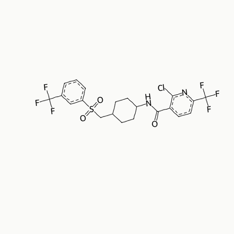 O=C(NC1CCC(CS(=O)(=O)c2cccc(C(F)(F)F)c2)CC1)c1ccc(C(F)(F)F)nc1Cl